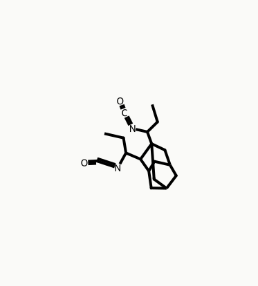 CCC(N=C=O)C1C2CC3CC(C2)CC1(C(CC)N=C=O)C3